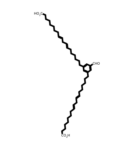 O=Cc1cc(CCCCCCC=CCC=CCCCCCCCC(=O)O)cc(CCCCCCC=CCC=CCCCCCCCC(=O)O)c1